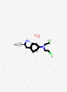 N[C@@H](Cc1ccc(N(CCCl)CCCl)cc1)C(=O)O.O